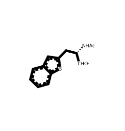 CC(=O)N[C@H]([C]=O)Cc1cc2ccccc2s1